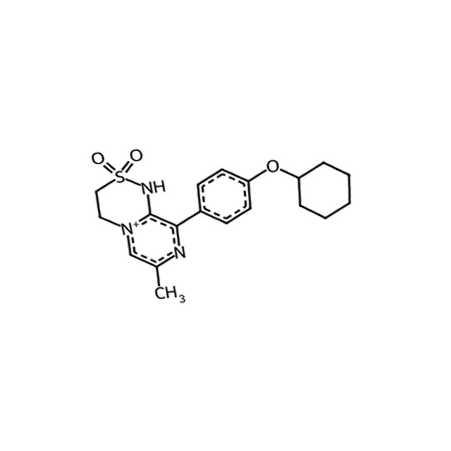 Cc1c[n+]2c(c(-c3ccc(OC4CCCCC4)cc3)n1)NS(=O)(=O)CC2